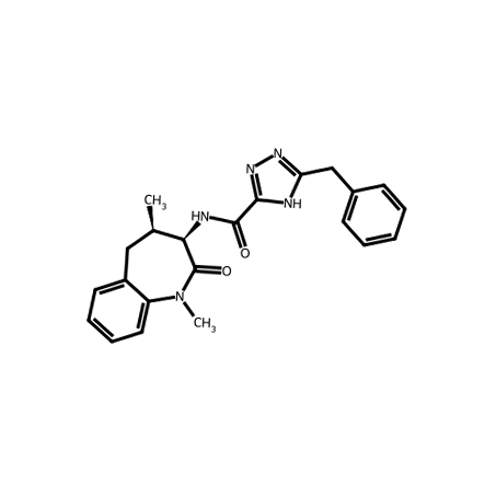 C[C@@H]1Cc2ccccc2N(C)C(=O)[C@@H]1NC(=O)c1nnc(Cc2ccccc2)[nH]1